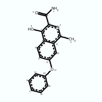 Cc1nc(C(N)=O)c(O)c2ccc(Oc3ccccc3)cc12